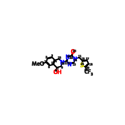 COc1ccc2c(c1)C(O)CN(c1ncn(Cc3ccc(C(F)(F)F)s3)c(=O)n1)C2